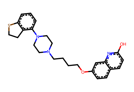 Oc1ccc2ccc(OCCCCN3CCN(c4cccc5c4CCS5)CC3)cc2n1